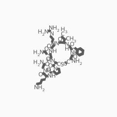 CC[C@H](C)C1NC(=O)[C@H](Cc2ccccc2)NC(=O)[C@@H](N)CSSC[C@@H](C(=O)N2CCC[C@H]2C(=O)N[C@@H](CCCCN)C(=O)NCC(N)=O)NC(=O)[C@H](CC(N)=O)NC(=O)[C@H](CCCN=C(N)N)NC1=O